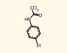 CCc1ccc(NC(=O)C(Cl)(Cl)Cl)cc1